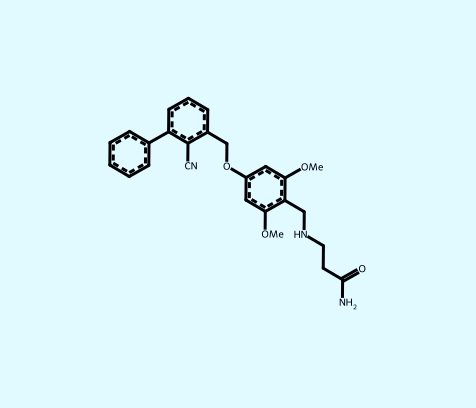 COc1cc(OCc2cccc(-c3ccccc3)c2C#N)cc(OC)c1CNCCC(N)=O